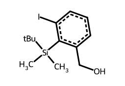 CC(C)(C)[Si](C)(C)c1c(I)cccc1CO